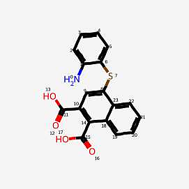 Nc1ccccc1Sc1cc(C(=O)O)c(C(=O)O)c2ccccc12